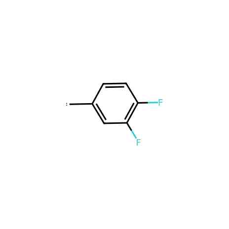 [CH]c1ccc(F)c(F)c1